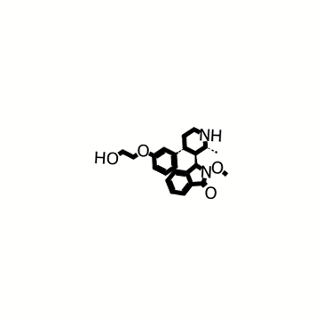 CON1C(=O)c2ccccc2C1[C@@H]1[C@@H](C)NCC[C@H]1c1cccc(OCCO)c1